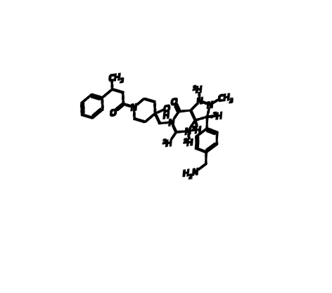 [2H]C1N(CC2(O)CCN(C(=O)CC(C)c3ccccc3)CC2)C(=O)C2N([2H])N(C)[C@]([2H])(c3ccc(CN)cc3)C2([2H])N1[2H]